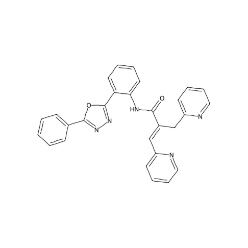 O=C(Nc1ccccc1-c1nnc(-c2ccccc2)o1)C(=Cc1ccccn1)Cc1ccccn1